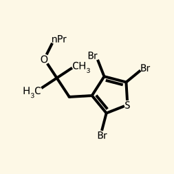 CCCOC(C)(C)Cc1c(Br)sc(Br)c1Br